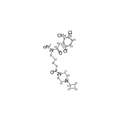 CCCN(CCCCC(=O)N1CCN(C2CCC2)CC1)C(=O)Cc1c(Cl)ccc(Cl)c1Cl